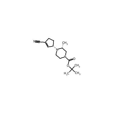 C[C@@H]1CN(C(=O)OC(C)(C)C)CCN1[C@@H]1C=C(C#N)CC1